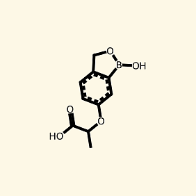 CC(Oc1ccc2c(c1)B(O)OC2)C(=O)O